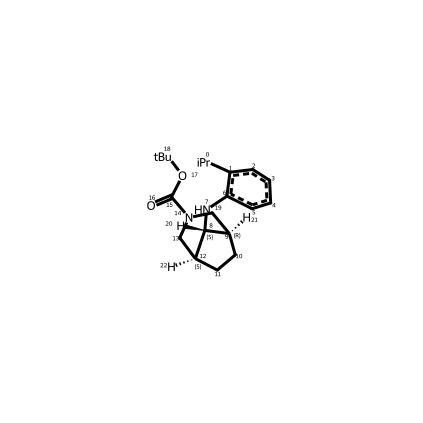 CC(C)c1ccccc1N[C@@H]1[C@@H]2CC[C@H]1CN(C(=O)OC(C)(C)C)C2